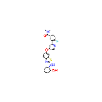 CN(C)C(=O)c1ccc(F)c(-c2cc(Oc3ccc4nc(N[C@@H]5CCCC[C@H]5O)sc4c3)ccn2)c1